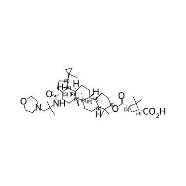 CC(C)(CN1CCOCC1)NC(=O)[C@]12CC[C@@H](C3(C)CC3)[C@@H]1[C@H]1CC[C@@H]3[C@@]4(C)CC[C@H](OC(=O)[C@H]5C[C@@H](C(=O)O)C5(C)C)C(C)(C)[C@@H]4CC[C@@]3(C)[C@]1(C)CC2